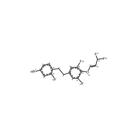 CCCc1ccc(CCc2cc(F)c(O/C=C/C(F)F)c(F)c2)c(F)c1